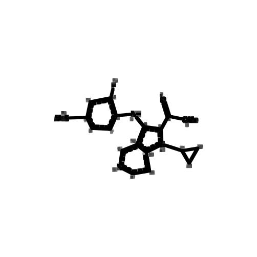 COC(=O)c1c(Nc2ccc(SC)cc2F)c2cnccc2n1C1CC1